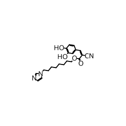 N#CC(=Cc1ccc(O)c(O)c1)C(=O)OCCCCCCCCn1ccnc1